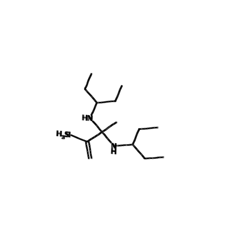 C=C([SiH3])C(C)(NC(CC)CC)NC(CC)CC